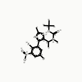 Cc1nc(-c2cc(F)cc([N+](=O)[O-])c2F)c(C(C)N(C)C(=O)OC(C)(C)C)s1